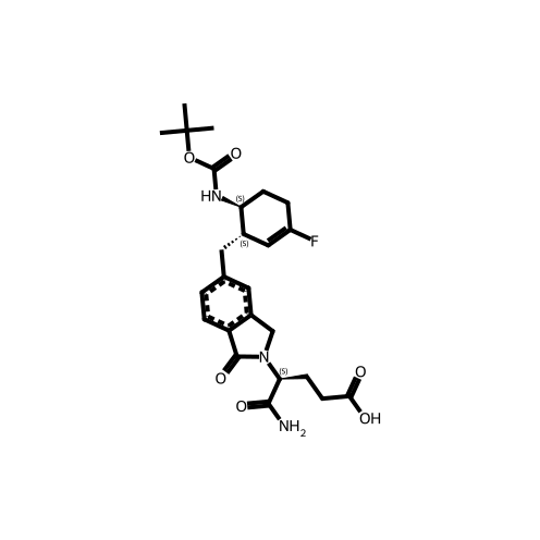 CC(C)(C)OC(=O)N[C@H]1CCC(F)=C[C@@H]1Cc1ccc2c(c1)CN([C@@H](CCC(=O)O)C(N)=O)C2=O